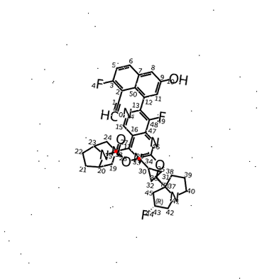 C#Cc1c(F)ccc2cc(O)cc(-c3ncc4c(N5CC6CCC(C5)N6C(=O)OCC5CC5)nc(OC[C@@]56CCCN5C[C@H](F)C6)nc4c3F)c12